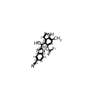 Cc1cc(OC(F)F)c(C(O)c2nc3cc(C#N)ccc3[nH]2)c2cc[nH]c12